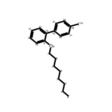 CCCCCCCCOc1ccccc1-c1ccc(I)cc1